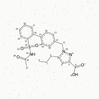 CCCc1cc(C(=O)O)nn1Cc1ccc(-c2ccccc2S(=O)(=O)NC(C)=O)cc1